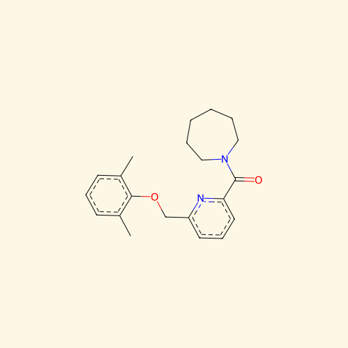 Cc1cccc(C)c1OCc1cccc(C(=O)N2CCCCCC2)n1